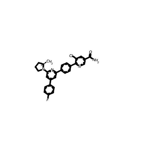 C[C@@H]1CCCN1c1cc(-c2ccc(F)cc2)cc(-c2ccc(-c3ncc(C(N)=O)cc3Cl)cc2)n1